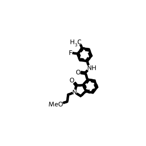 COCCN1Cc2cccc(C(=O)Nc3ccc(C)c(F)c3)c2C1=O